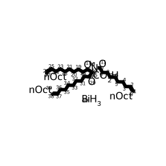 CCCCCCCC/C=C\CCCCCCCC(=O)N(C)C(C(=O)O)(C(=O)CCCCCCC/C=C\CCCCCCCC)C(=O)CCCCCCC/C=C\CCCCCCCC.[BiH3]